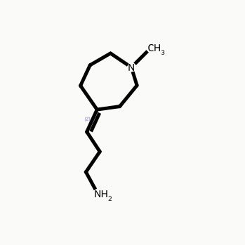 CN1CCC/C(=C/CCN)CC1